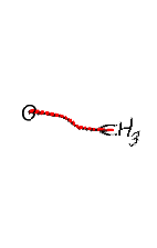 CCCCCCCCCCCCCCCCCCCCCCCCCCCCCCCCC=O